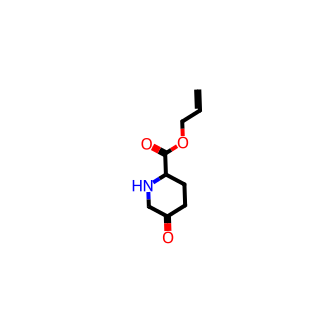 C=CCOC(=O)C1CCC(=O)CN1